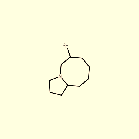 [2H]C1CCCCC2CCCN2C1